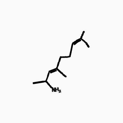 CC(C)=CCC/C(C)=C/C(C)N